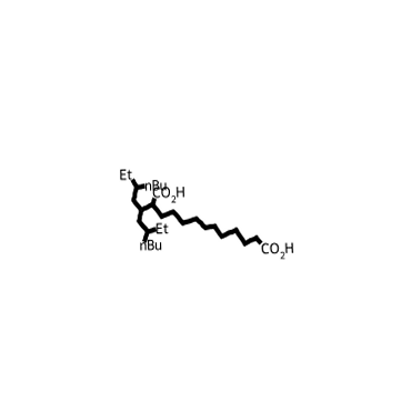 CCCCC(CC)CC(CC(CC)CCCC)C(CCCCCCCCCCC(=O)O)C(=O)O